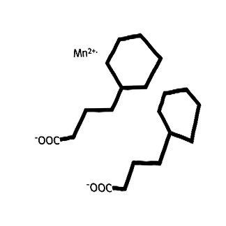 O=C([O-])CCCC1CCCCC1.O=C([O-])CCCC1CCCCC1.[Mn+2]